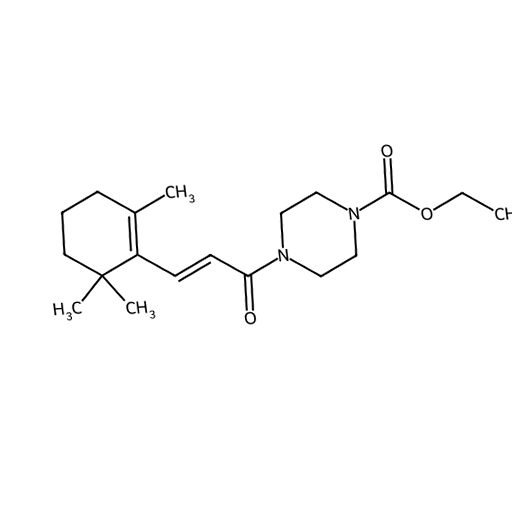 CCOC(=O)N1CCN(C(=O)/C=C/C2=C(C)CCCC2(C)C)CC1